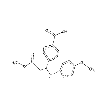 COC(=O)CC(Nc1ccc(OC)cc1)c1ccc(C(=O)O)cc1